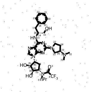 CCCN(C(=O)C(F)(F)F)[C@H]1C[C@@H](n2cnc3c(N[C@@H](CO)Cc4ccccc4)nc(N4CC[C@@H](N(C)C)C4)nc32)[C@H](O)[C@@H]1O